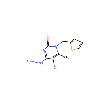 Cc1c(Cl)c(NN)nc(=O)n1Cc1cccs1